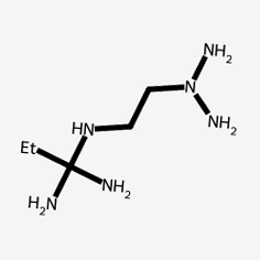 CCC(N)(N)NCCN(N)N